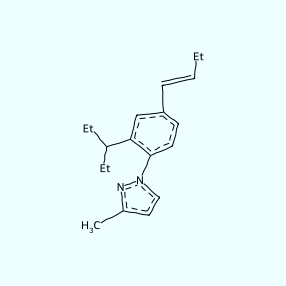 CC/C=C/c1ccc(-n2ccc(C)n2)c(C(CC)CC)c1